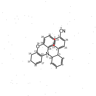 N#Cc1ccc(C2C=CC=CC2N2C3=C(CCC=C3)Oc3ccccc32)cc1